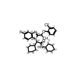 CC(Oc1ccccc1Cl)c1nc2cc(F)ccc2n1C(C(=O)NC1CCCCC1)C1CCCCC1